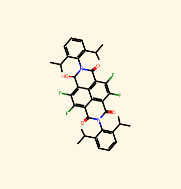 CC(C)c1cccc(C(C)C)c1N1C(=O)c2c(F)c(F)c3c4c(c(F)c(F)c(c24)C1=O)C(O)N(c1c(C(C)C)cccc1C(C)C)C3=O